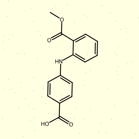 COC(=O)c1ccccc1Nc1ccc(C(=O)O)cc1